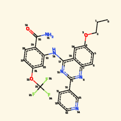 CCCOc1ccc2nc(-c3cccnc3)nc(Nc3cc(OC(F)(F)F)ccc3C(N)=O)c2c1